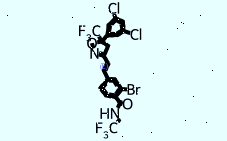 O=C(NCC(F)(F)F)c1ccc(/C=C/C2=NOC(c3cc(Cl)cc(Cl)c3)(C(F)(F)F)C2)cc1Br